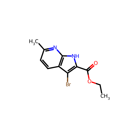 CCOC(=O)c1[nH]c2nc(C)ccc2c1Br